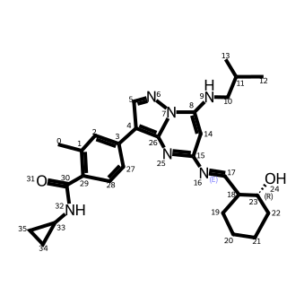 Cc1cc(-c2cnn3c(NCC(C)C)cc(/N=C/C4CCCC[C@H]4O)nc23)ccc1C(=O)NC1CC1